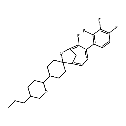 CCCC1CCC(C2CCC3(CC2)OC2=C(F)C(c4ccc(F)c(F)c4F)=CC=C3C2)OC1